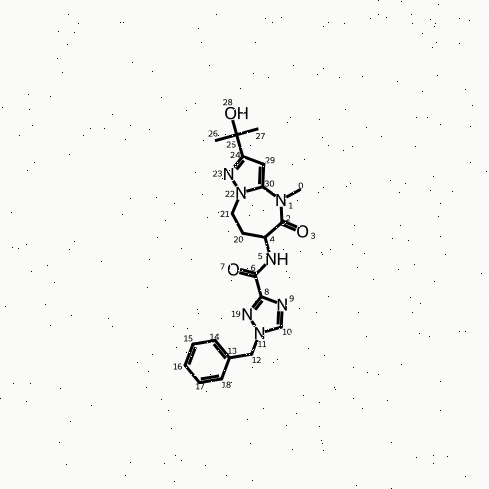 CN1C(=O)C(NC(=O)c2ncn(Cc3ccccc3)n2)CCn2nc(C(C)(C)O)cc21